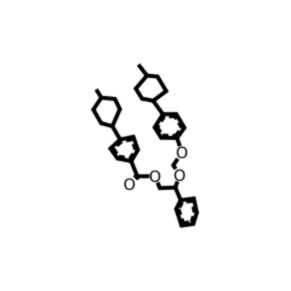 CC1CCC(c2ccc(OCOC(COC(=O)c3ccc(C4CCC(C)CC4)cc3)c3ccccc3)cc2)CC1